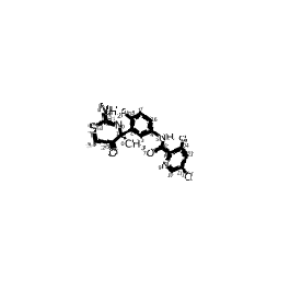 C[C@]1(c2cc(NC(=O)c3ncc(Cl)cc3Cl)ccc2F)N=C(N)SCC1=O